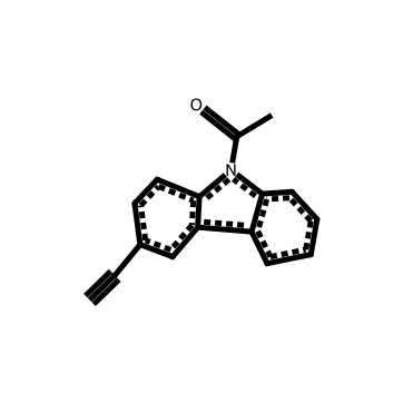 C#Cc1ccc2c(c1)c1ccccc1n2C(C)=O